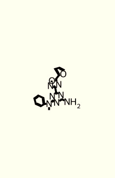 CN(c1ccccc1)c1nc(N)nc(-c2noc(-c3ccco3)n2)n1